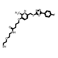 CC1NC(CSc2nnc(-c3ccc(F)cc3)o2)=CC=C1OCCCC(=O)NCCOCCS